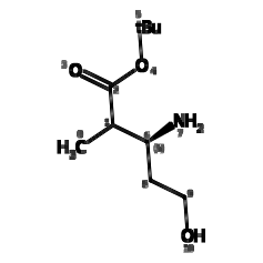 CC(C(=O)OC(C)(C)C)[C@@H](N)CCO